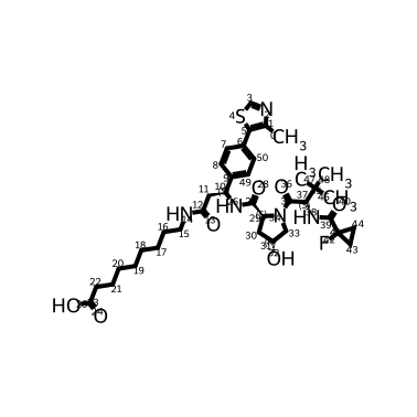 Cc1ncsc1-c1ccc([C@H](CC(=O)NCCCCCCCCC(=O)O)NC(=O)[C@@H]2C[C@@H](O)CN2C(=O)[C@@H](NC(=O)C2(F)CC2)C(C)(C)C)cc1